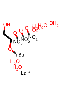 CCCCOCCO.O.O.O.O.O.O.O=[N+]([O-])[O-].O=[N+]([O-])[O-].O=[N+]([O-])[O-].[La+3]